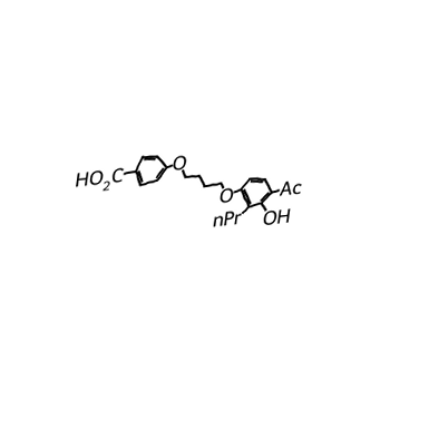 CCCc1c(OCCCCOc2ccc(C(=O)O)cc2)ccc(C(C)=O)c1O